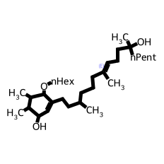 CCCCCCOC1C(CCC(C)CCC/C(C)=C/CCC(C)(O)CCCCC)=CC(O)C(C)C1C